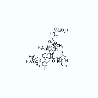 CC(C)(CCc1ccc(-c2ccc(Cl)c3c(N(C(=O)/C=C/C(=O)N[C@@H](CC(=O)O)C(=O)O)S(C)(=O)=O)nn(CC(F)(F)F)c23)c([C@H](Cc2cc(F)cc(F)c2)NC(=O)Cn2nc(C(F)(F)F)c3c2C(F)(F)C2C[C@H]32)n1)S(C)(=O)=O